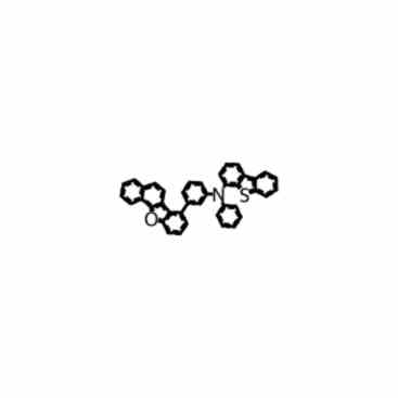 c1ccc(N(c2cccc(-c3cccc4oc5c6ccccc6ccc5c34)c2)c2cccc3c2sc2ccccc23)cc1